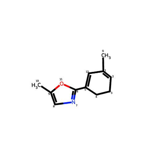 CC1=CCCC(c2ncc(C)o2)=C1